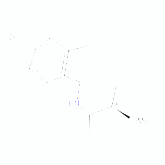 CO[C@H](C)C(C)NCc1ccc(Br)cc1F